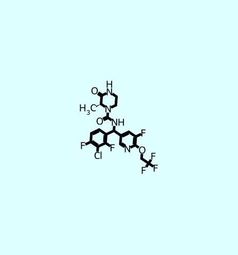 C[C@@H]1C(=O)NCCN1C(=O)NC(c1cnc(OCC(F)(F)F)c(F)c1)c1ccc(F)c(Cl)c1F